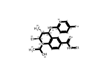 CCNC(=O)c1ccc2c(c1)[C@H](Nc1ccc(F)cn1)[C@@H](C)[C@H](CC)N2C(C)O